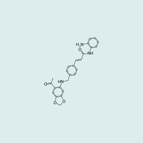 CC(=O)c1cc2c(cc1NCc1ccc(C=CC(=O)Nc3ccccc3N)cc1)OCO2